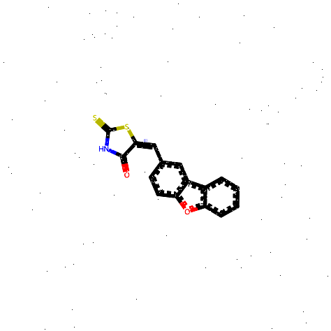 O=C1NC(=S)S/C1=C/c1ccc2oc3ccccc3c2c1